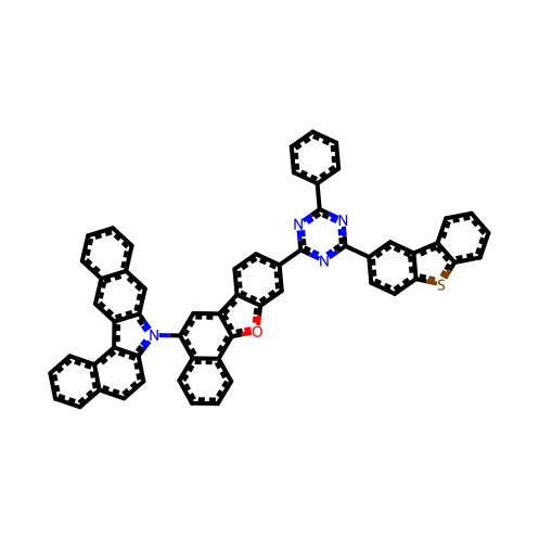 c1ccc(-c2nc(-c3ccc4c(c3)oc3c5ccccc5c(-n5c6cc7ccccc7cc6c6c7ccccc7ccc65)cc43)nc(-c3ccc4sc5ccccc5c4c3)n2)cc1